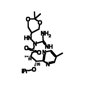 Cc1cnc([C@H](OC(C)C)[C@H](C)S(=O)(=O)N(NC2COC(C)(C)OC2)C(=N)N)nc1